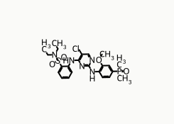 CCN(CC)S(=O)(=O)c1ccccc1Nc1nc(Nc2ccc(P(C)(C)=O)cc2OC)ncc1Cl